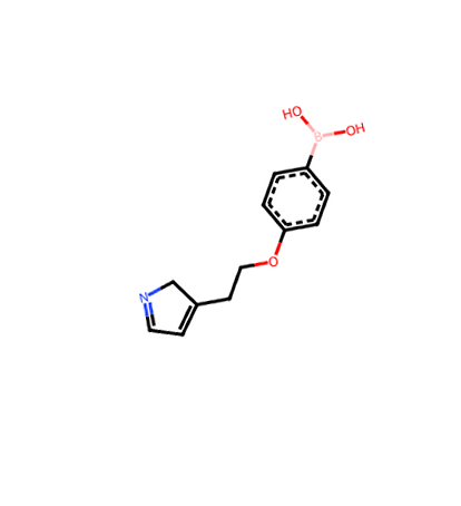 OB(O)c1ccc(OCCC2=CC=NC2)cc1